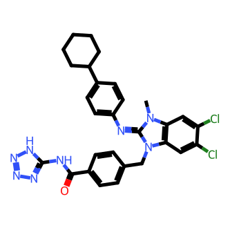 Cn1/c(=N\c2ccc(C3CCCCC3)cc2)n(Cc2ccc(C(=O)Nc3nnn[nH]3)cc2)c2cc(Cl)c(Cl)cc21